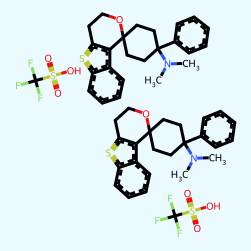 CN(C)C1(c2ccccc2)CCC2(CC1)OCCc1sc3ccccc3c12.CN(C)C1(c2ccccc2)CCC2(CC1)OCCc1sc3ccccc3c12.O=S(=O)(O)C(F)(F)F.O=S(=O)(O)C(F)(F)F